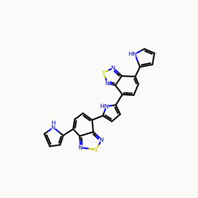 c1c[nH]c(-c2ccc(-c3ccc(-c4ccc(-c5ccc[nH]5)c5nsnc45)[nH]3)c3nsnc23)c1